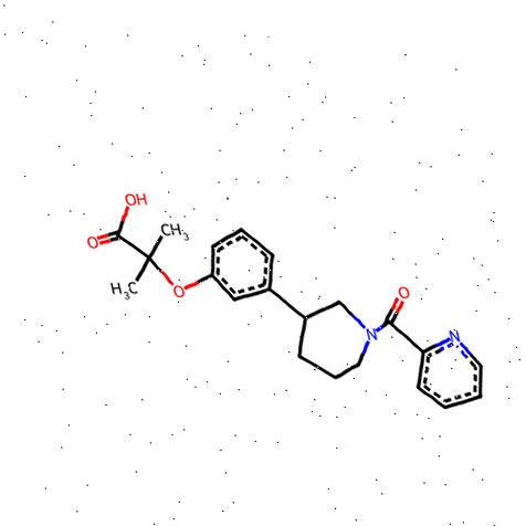 CC(C)(Oc1cccc(C2CCCN(C(=O)c3ccccn3)C2)c1)C(=O)O